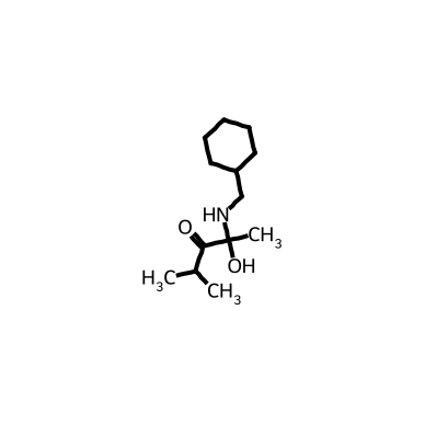 CC(C)C(=O)C(C)(O)NCC1CCCCC1